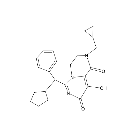 O=C1c2c(O)c(=O)nc(C(c3ccccc3)C3CCCC3)n2CCN1CC1CC1